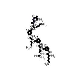 C=C(C(N)=O)/C(=C\C=C(/C)NC(=O)[C@@H](CCCCN)NC(=O)c1cc(NC(=O)[C@@H](CCCCN)NC(=O)c2cc(NC(=O)[C@@H](CCCNC(=N)N)NC(=O)c3cc(NC(=O)[C@H](N)CCCCN)ccc3OC)ccc2OC)ccc1OC)OC